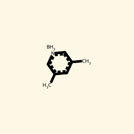 B.Cc1cncc(C)c1